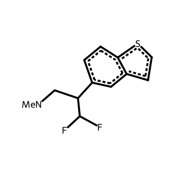 CNCC(c1ccc2sccc2c1)C(F)F